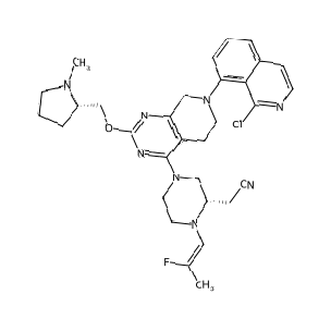 CC(F)=CN1CCN(c2nc(OC[C@@H]3CCCN3C)nc3c2CCN(c2cccc4ccnc(Cl)c24)C3)C[C@@H]1CC#N